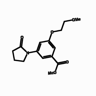 COCCOc1cc(C(=O)OC)cc(N2CCCC2=O)c1